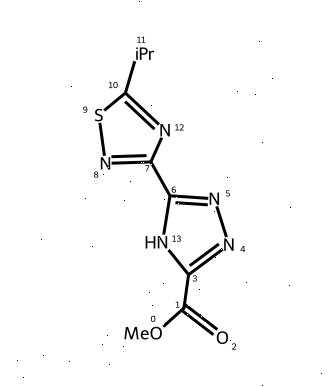 COC(=O)c1nnc(-c2nsc(C(C)C)n2)[nH]1